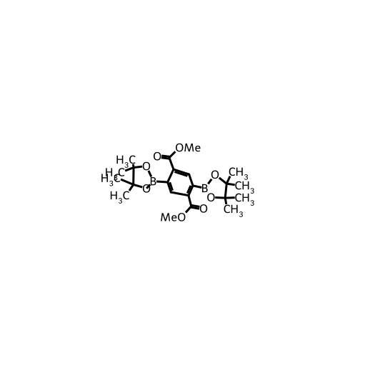 COC(=O)c1cc(B2OC(C)(C)C(C)(C)O2)c(C(=O)OC)cc1B1OC(C)(C)C(C)(C)O1